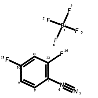 F[B-](F)(F)F.N#[N+]c1ccc(F)cc1F